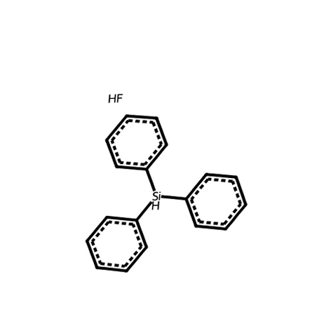 F.c1ccc([SiH](c2ccccc2)c2ccccc2)cc1